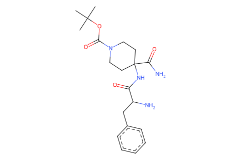 CC(C)(C)OC(=O)N1CCC(NC(=O)C(N)Cc2ccccc2)(C(N)=O)CC1